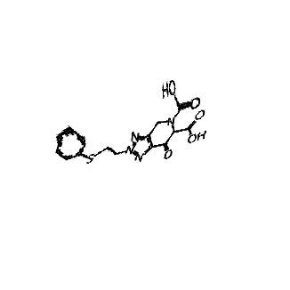 O=C(O)C1C(=O)c2nn(CCSc3ccccc3)nc2CN1C(=O)O